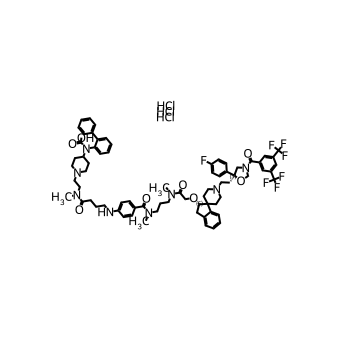 CN(CCN1CCC(N(C(=O)O)c2ccccc2-c2ccccc2)CC1)C(=O)CCCNc1ccc(C(=O)N(C)CCCN(C)C(=O)CO[C@H]2Cc3ccccc3C23CCN(CC[C@]2(c4ccc(F)cc4)CN(C(=O)c4cc(C(F)(F)F)cc(C(F)(F)F)c4)CO2)CC3)cc1.Cl.Cl.Cl